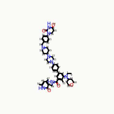 CCN(c1cc(-c2ccc(N3CCN(C4CCN(Cc5ccc(N6CCC(=O)NC6=O)cc5)CC4)CC3)cc2)cc(C(=O)NCc2c(C)cc(C)[nH]c2=O)c1C)C1CCOCC1